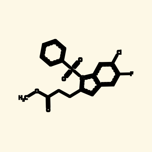 COC(=O)CCc1cc2cc(F)c(Cl)cc2n1S(=O)(=O)c1ccccc1